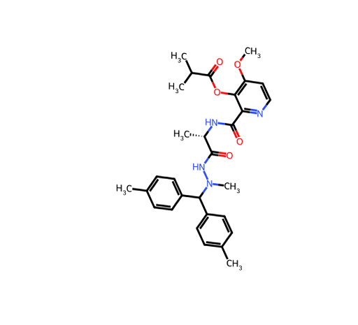 COc1ccnc(C(=O)N[C@@H](C)C(=O)NN(C)C(c2ccc(C)cc2)c2ccc(C)cc2)c1OC(=O)C(C)C